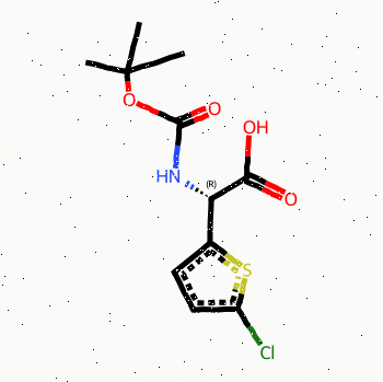 CC(C)(C)OC(=O)N[C@H](C(=O)O)c1ccc(Cl)s1